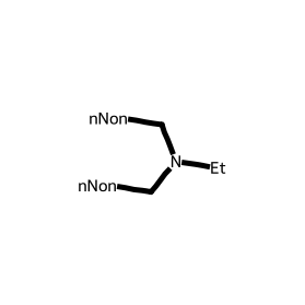 [CH2]CN(CCCCCCCCCC)CCCCCCCCCC